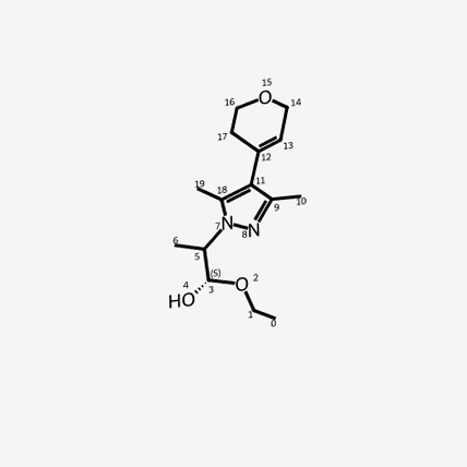 CCO[C@H](O)C(C)n1nc(C)c(C2=CCOCC2)c1C